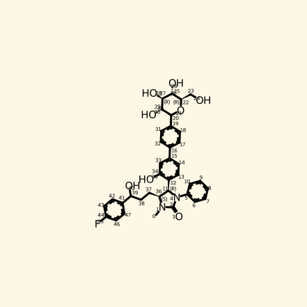 CN1C(=O)N(c2ccccc2)[C@H](c2ccc(-c3ccc(C4O[C@H](CO)[C@@H](O)[C@H](O)[C@H]4O)cc3)cc2O)[C@@H]1CCC(O)c1ccc(F)cc1